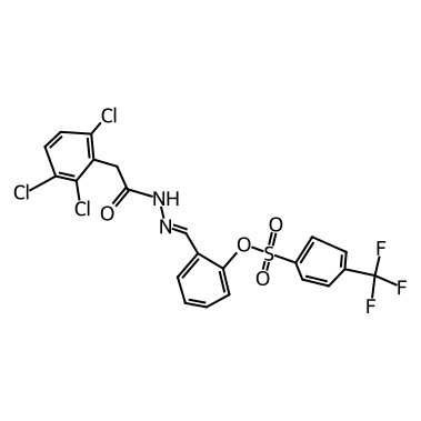 O=C(Cc1c(Cl)ccc(Cl)c1Cl)NN=Cc1ccccc1OS(=O)(=O)c1ccc(C(F)(F)F)cc1